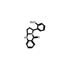 COc1ccccc1C1CCC2Nc3ccccc3C(=O)N21